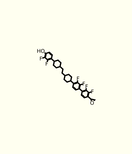 Oc1ccc(C2CCC(CCC3CCC(c4ccc(-c5ccc(C6CO6)c(F)c5F)c(F)c4F)CC3)CC2)c(F)c1F